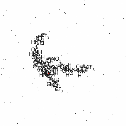 O=C(CCCNc1ncc(C(F)(F)F)cc1Cl)NNS(=O)(=O)c1ccc(CNC(=O)c2ccc([N+](=O)[O-])cc2-c2cc(-c3c(O)cccc3C(=O)NCc3ccc(S(=O)(=O)NNC(=O)CCCNc4ncc(C(F)(F)F)cc4Cl)s3)c(S(=O)(=O)N(CN3C=C4C=CC(=O)C(=O)C4C3)NC(=O)CCCNc3ncc(C(F)(F)F)cc3Cl)s2)s1